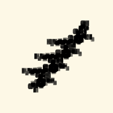 COc1ccc(NC(=O)[C@H](CCCCN)NC(=O)c2cc(NC(=O)[C@H](CCCCN)NC(=O)c3cc(NC(=O)[C@H](CCCCN)NC(=O)c4cc(NC=O)ccc4OC)ccc3OC)ccc2OC)cc1C(=O)NCC(=O)O